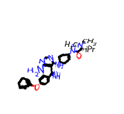 CC(C)[C@H](C(=O)NC1CCC(Nc2ncnc(N)c2C(=N)c2ccc(Oc3ccccc3)cc2)CC1)N(C)C